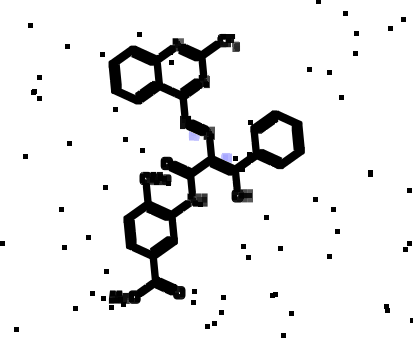 COC(=O)c1ccc(OC)c(NC(=O)C(/N=N/c2nc(C(F)(F)F)nc3ccccc23)=C(\O)c2ccccc2)c1